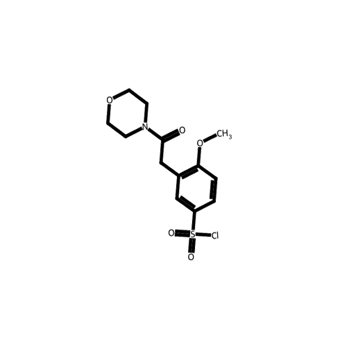 COc1ccc(S(=O)(=O)Cl)cc1CC(=O)N1CCOCC1